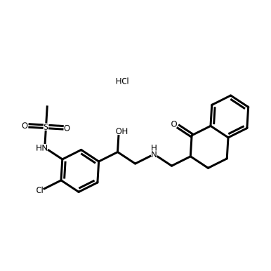 CS(=O)(=O)Nc1cc(C(O)CNCC2CCc3ccccc3C2=O)ccc1Cl.Cl